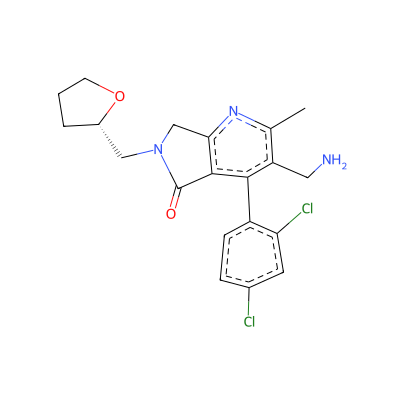 Cc1nc2c(c(-c3ccc(Cl)cc3Cl)c1CN)C(=O)N(C[C@@H]1CCCO1)C2